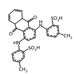 Cc1ccc(Nc2ccc(Nc3ccc(C)cc3S(=O)(=O)O)c3c2C(=O)C2C=CC=CC2C3=O)c(S(=O)(=O)O)c1